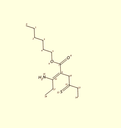 CCCCCCOC(=O)C(CC(=S)CC)=C(N)CC